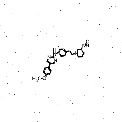 COc1ccc(-c2cnc(Nc3ccc(CCN4CCCC(NC=O)C4)cc3)nc2)cc1